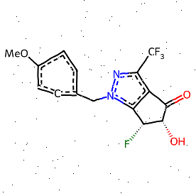 COc1ccc(Cn2nc(C(F)(F)F)c3c2[C@@H](F)[C@@H](O)C3=O)cc1